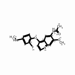 CNc1ccc(Oc2ccnc3cc(OC)c(NC(C)=O)cc23)c(F)c1